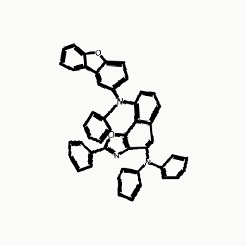 c1ccc(-c2nc3c(N(c4ccccc4)c4ccccc4)cc4cccc(N(c5ccccc5)c5ccc6oc7ccccc7c6c5)c4c3o2)cc1